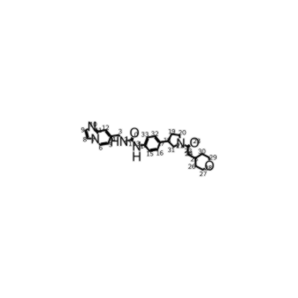 O=C(NCc1ccn2ccnc2c1)Nc1ccc(C2CCN(C(=O)CC3CCOCC3)C2)cc1